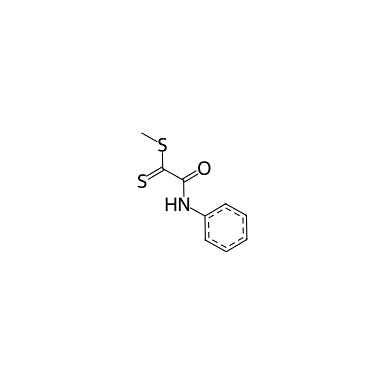 CSC(=S)C(=O)Nc1ccccc1